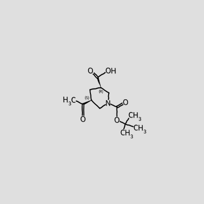 CC(=O)[C@H]1C[C@@H](C(=O)O)CN(C(=O)OC(C)(C)C)C1